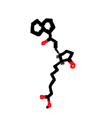 COC(=O)CCCCCC[C@@H]1C(=O)CC[C@H]1C=CC(=O)c1cccc2ccccc12